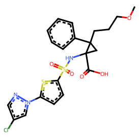 COCCCC1(c2ccccc2)CC1(NS(=O)(=O)c1ccc(-n2cc(Cl)cn2)s1)C(=O)O